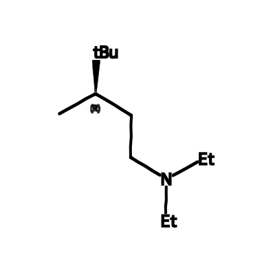 CCN(CC)CC[C@@H](C)C(C)(C)C